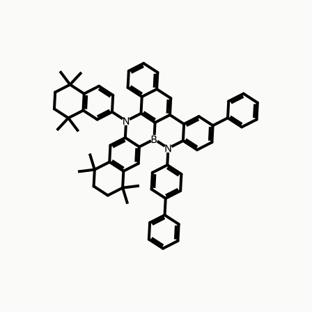 CC1(C)CCC(C)(C)c2cc(N3c4cc5c(cc4B4c6c(cc7ccccc7c63)-c3cc(-c6ccccc6)ccc3N4c3ccc(-c4ccccc4)cc3)C(C)(C)CCC5(C)C)ccc21